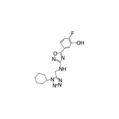 Oc1cc(-c2nc(NCc3nnnn3C3CCCCC3)no2)ccc1F